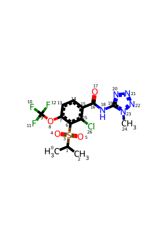 CC(C)S(=O)(=O)c1c(OC(F)(F)F)ccc(C(=O)Nc2nnnn2C)c1Cl